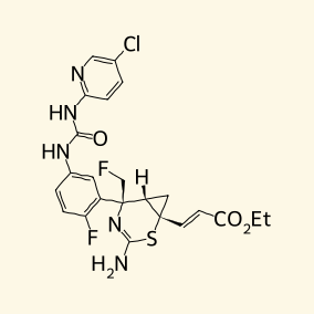 CCOC(=O)/C=C/[C@]12C[C@H]1[C@@](CF)(c1cc(NC(=O)Nc3ccc(Cl)cn3)ccc1F)N=C(N)S2